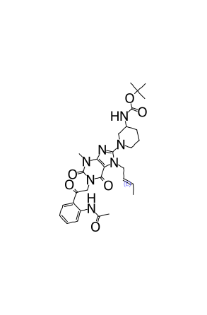 C/C=C/Cn1c(N2CCCC(NC(=O)OC(C)(C)C)C2)nc2c1c(=O)n(CC(=O)c1ccccc1NC(C)=O)c(=O)n2C